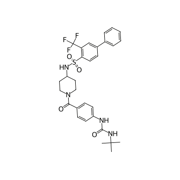 CC(C)(C)NC(=O)Nc1ccc(C(=O)N2CCC(NS(=O)(=O)c3ccc(-c4ccccc4)cc3C(F)(F)F)CC2)cc1